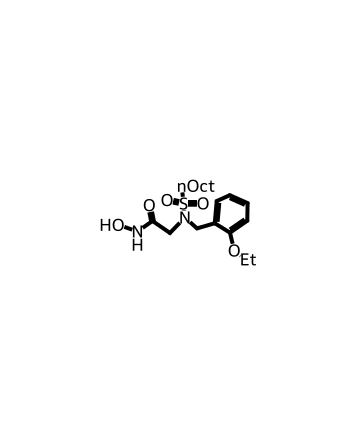 CCCCCCCCS(=O)(=O)N(CC(=O)NO)Cc1ccccc1OCC